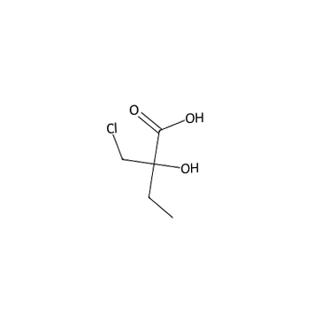 CCC(O)(CCl)C(=O)O